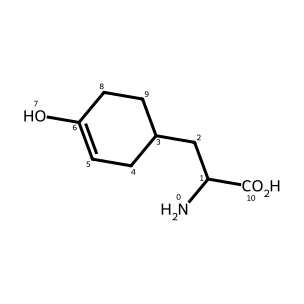 NC(CC1CC=C(O)CC1)C(=O)O